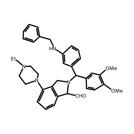 CCN1CCN(c2cccc3c2CN(C(c2cccc(NCc4ccccc4)c2)c2ccc(OC)c(OC)c2)C3C=O)CC1